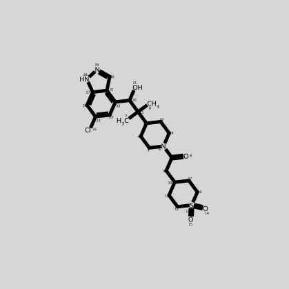 CC(C)(C1CCN(C(=O)CC2CCS(=O)(=O)CC2)CC1)C(O)c1cc(Cl)cc2[nH]ncc12